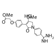 COC(=O)COc1ccc(C2=C(OC)CN(c3ccc(C(=N)N)cc3)C2=O)cc1.Cl